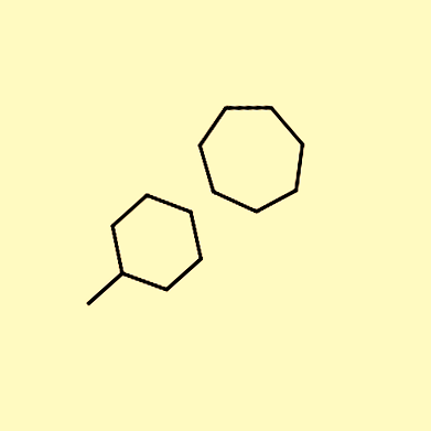 C1CCCCCC1.CC1CCCCC1